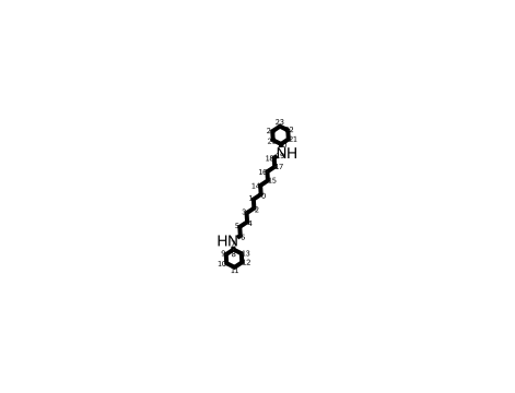 C(CCCCCCNC1CCCCC1)CCCCCNC1CCCCC1